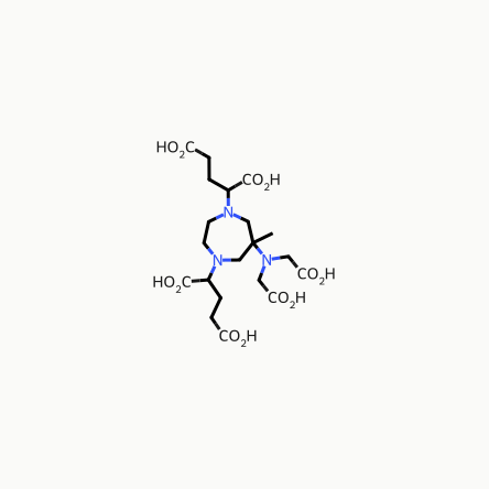 CC1(N(CC(=O)O)CC(=O)O)CN(C(CCC(=O)O)C(=O)O)CCN(C(CCC(=O)O)C(=O)O)C1